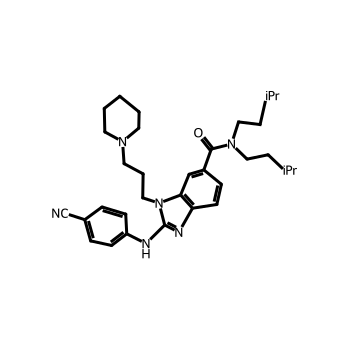 CC(C)CCN(CCC(C)C)C(=O)c1ccc2nc(Nc3ccc(C#N)cc3)n(CCCN3CCCCC3)c2c1